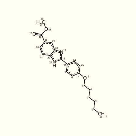 CCCCCCOc1ccc(-c2nc3cc(C(=O)OC)ccc3[nH]2)cc1